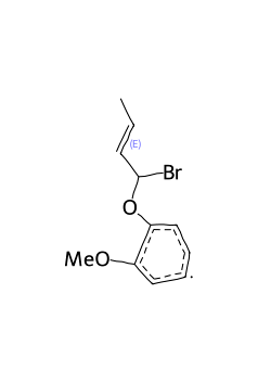 C/C=C/C(Br)Oc1cc[c]cc1OC